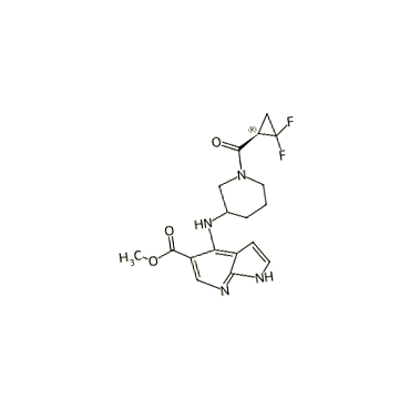 COC(=O)c1cnc2[nH]ccc2c1NC1CCCN(C(=O)[C@H]2CC2(F)F)C1